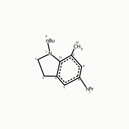 CCCCN1CCc2cc(CCC)cc(C)c21